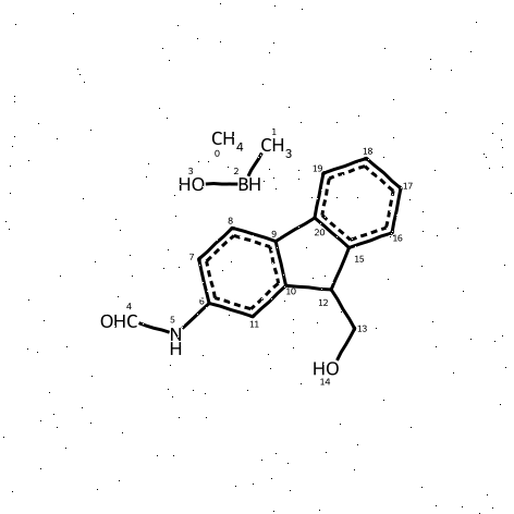 C.CBO.O=CNc1ccc2c(c1)C(CO)c1ccccc1-2